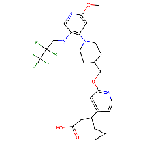 COc1cc(N2CCC(COc3cc(C(CC(=O)O)C4CC4)ccn3)CC2)c(NCC(F)(F)C(F)(F)F)cn1